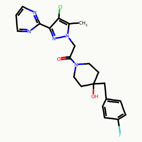 Cc1c(Cl)c(-c2ncccn2)nn1CC(=O)N1CCC(O)(Cc2ccc(F)cc2)CC1